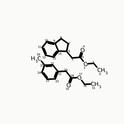 CCOC(=O)CC1CCc2ccccc21.CCOC(=O)Cc1cccc(C)c1